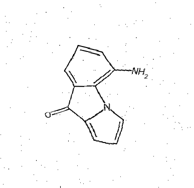 Nc1cccc2c1-n1cccc1C2=O